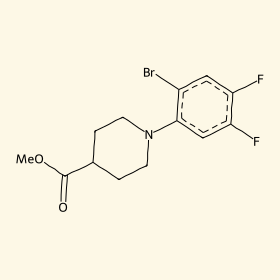 COC(=O)C1CCN(c2cc(F)c(F)cc2Br)CC1